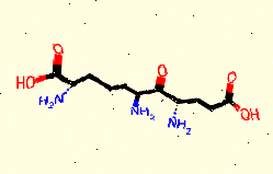 NC(CCC[C@H](N)C(=O)O)C(=O)[C@@H](N)CCC(=O)O